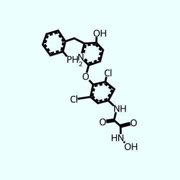 O=C(NO)C(=O)Nc1cc(Cl)c(Oc2ccc(O)c(Cc3ccccc3P)n2)c(Cl)c1